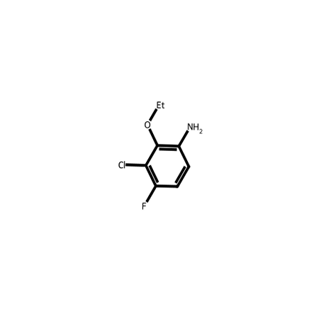 CCOc1c(N)ccc(F)c1Cl